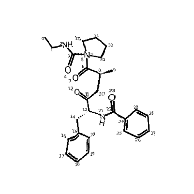 CCNC(=O)[N+]1(C(=O)[C@@H](C)CC(=O)[C@@H](Cc2ccccc2)NC(=O)c2ccccc2)CCCC1